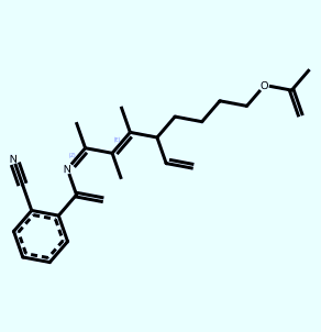 C=CC(CCCCOC(=C)C)/C(C)=C(C)/C(C)=N\C(=C)c1ccccc1C#N